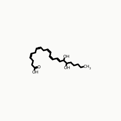 CCCCCC(O)C(O)/C=C/C=C\C=C/C/C=C\C/C=C\CCC(=O)O